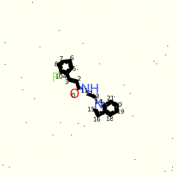 O=C(C=Cc1ccccc1F)NCCn1ccc2ccccc21